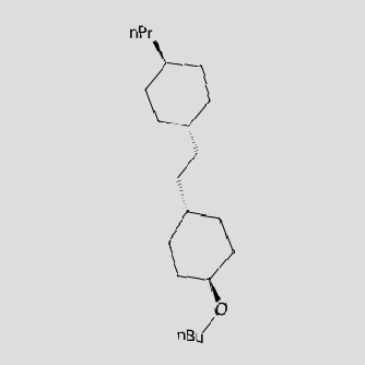 CCCCO[C@H]1CC[C@H](CC[C@H]2CC[C@H](CCC)CC2)CC1